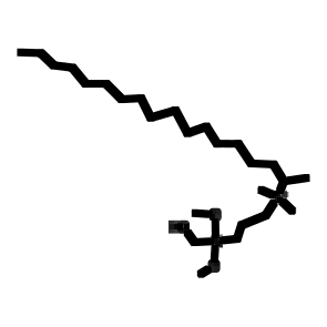 CCCCCCCCCCCCCCCCC(C)[N+](C)(C)CCC[Si](CO)(OC)OC